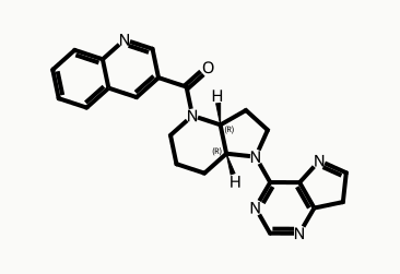 O=C(c1cnc2ccccc2c1)N1CCC[C@@H]2[C@H]1CCN2c1ncnc2c1N=CC2